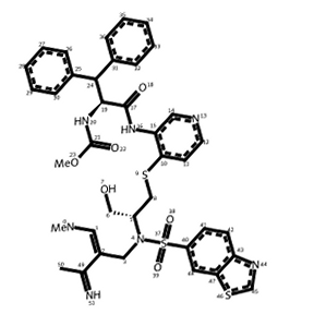 CN/C=C(/CN([C@H](CO)CSc1ccncc1NC(=O)[C@@H](NC(=O)OC)C(c1ccccc1)c1ccccc1)S(=O)(=O)c1ccc2ncsc2c1)C(C)=N